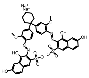 COc1cc(C2(c3ccc(N=Nc4c(S(=O)(=O)[O-])cc5ccc(O)cc5c4O)c(OC)c3)CCCCC2)ccc1N=Nc1c(S(=O)(=O)[O-])cc2ccc(O)cc2c1O.[Na+].[Na+]